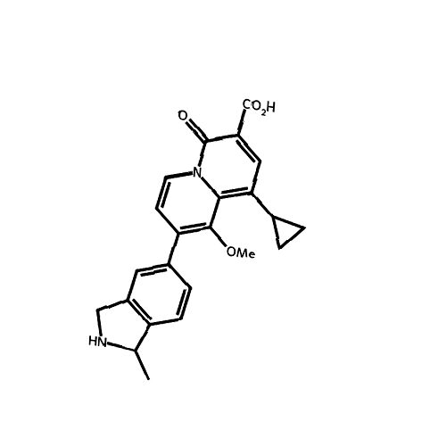 COc1c(-c2ccc3c(c2)CNC3C)ccn2c(=O)c(C(=O)O)cc(C3CC3)c12